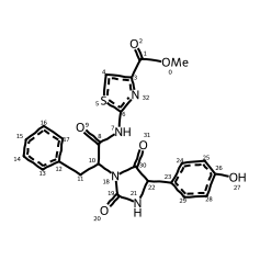 COC(=O)c1csc(NC(=O)C(Cc2ccccc2)N2C(=O)NC(c3ccc(O)cc3)C2=O)n1